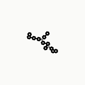 c1ccc(-c2ccc(N(c3ccc(-c4ccc(-c5cccc6ccccc56)cc4)cc3)c3cccc(-c4cccc5c4c4ccccc4n5-c4ccc5c(ccc6ccccc65)c4)c3)cc2)cc1